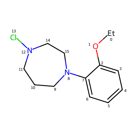 CCOc1ccccc1N1CCCN(Cl)CC1